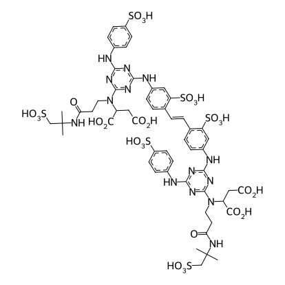 CC(C)(CS(=O)(=O)O)NC(=O)CCN(c1nc(Nc2ccc(S(=O)(=O)O)cc2)nc(Nc2ccc(/C=C/c3ccc(Nc4nc(Nc5ccc(S(=O)(=O)O)cc5)nc(N(CCC(=O)NC(C)(C)CS(=O)(=O)O)C(CC(=O)O)C(=O)O)n4)cc3S(=O)(=O)O)c(S(=O)(=O)O)c2)n1)C(CC(=O)O)C(=O)O